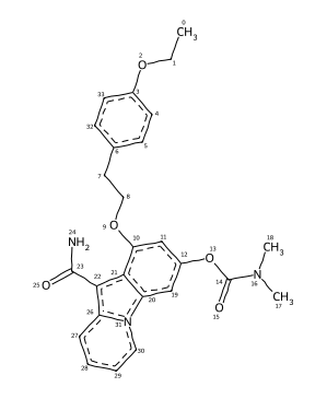 CCOc1ccc(CCOc2cc(OC(=O)N(C)C)cc3c2c(C(N)=O)c2ccccn23)cc1